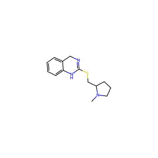 CN1CCCC1CSC1=NCc2ccccc2N1